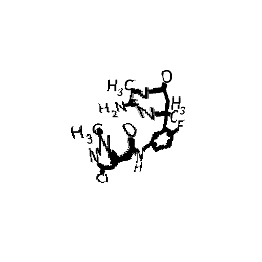 CN1C(=O)CC(C)(c2cc(NC(=O)c3cc(Cl)nn3C)ccc2F)N=C1N